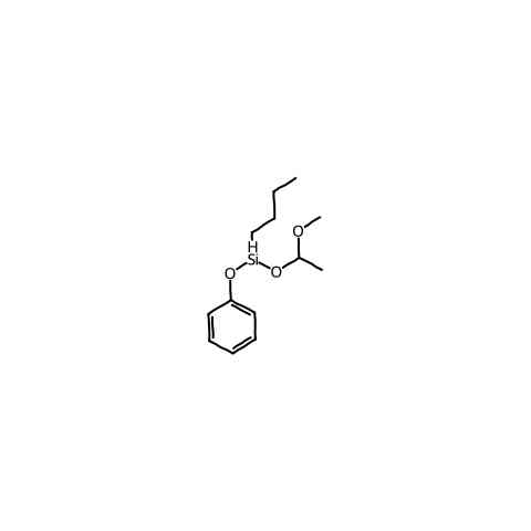 CCCC[SiH](Oc1ccccc1)OC(C)OC